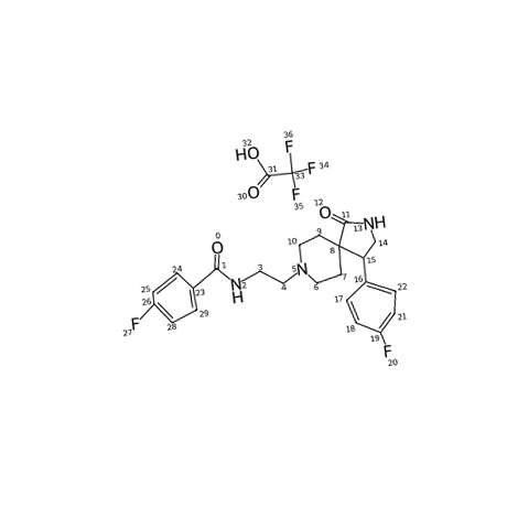 O=C(NCCN1CCC2(CC1)C(=O)NCC2c1ccc(F)cc1)c1ccc(F)cc1.O=C(O)C(F)(F)F